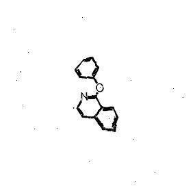 [c]1cc2ccccc2c(Oc2ccccc2)n1